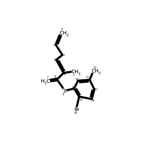 C=CC/C=C(\C)C(=C)Sc1cc(C)ccc1Br